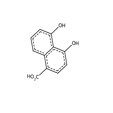 O=C(O)c1ccc(O)c2c(O)cccc12